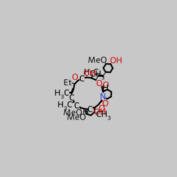 CC[C@@H]1/C=C(\C)C[C@H](C)C[C@H](OC)[C@H]2C[C@@](O)(C(=O)C(=O)N3CCCC[C@H]3C(=O)O[C@H](/C(C)=C/[C@@H]3CC[C@@H](O)[C@H](OC)C3)[C@H](C)[C@@H](O)CC1=O)[C@H](C)C[C@@H]2OC